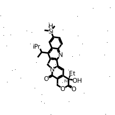 CC[C@@]1(O)C(=O)OCc2c1cc1n(c2=O)Cc2c-1nc1ccc([SiH](C)C)cc1c2C(C)C(C)C